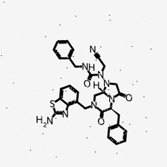 N#CCN(C(=O)NCc1ccccc1)N1CC(=O)N2[C@@H](Cc3ccccc3)C(=O)N(Cc3cccc4sc(N)nc34)C[C@@H]21